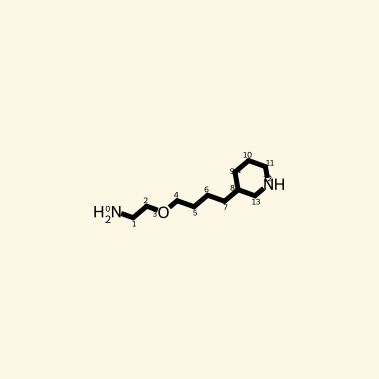 NCCOCCCCC1[CH]CCNC1